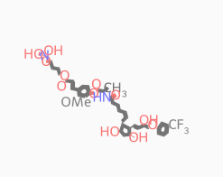 COc1cc(/C=C/C(=O)OCCCCON(O)O)ccc1OC(=O)C(C)NC(=O)CCC/C=C\C[C@@H]1[C@@H](/C=C/[C@@H](O)COc2cccc(C(F)(F)F)c2)[C@H](O)C[C@@H]1O